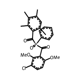 COc1ccc(Cl)c(OC)c1C(=O)P(=O)(C(=O)c1c(C)cc(C)c(C)c1C)c1ccccc1